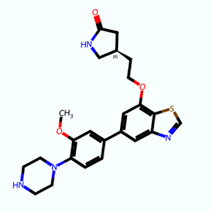 COc1cc(-c2cc(OCC[C@H]3CNC(=O)C3)c3scnc3c2)ccc1N1CCNCC1